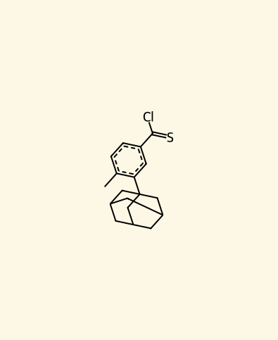 Cc1ccc(C(=S)Cl)cc1C12CC3CC(CC(C3)C1)C2